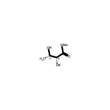 COC(=O)[C@H](C#N)[C@H](C)O